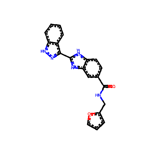 O=C(NCc1ccco1)c1ccc2[nH]c(-c3n[nH]c4ccccc34)nc2c1